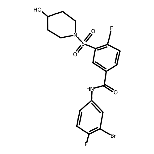 O=C(Nc1ccc(F)c(Br)c1)c1ccc(F)c(S(=O)(=O)N2CCC(O)CC2)c1